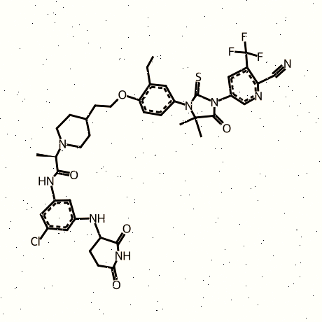 CCc1cc(N2C(=S)N(c3cnc(C#N)c(C(F)(F)F)c3)C(=O)C2(C)C)ccc1OCCC1CCN([C@H](C)C(=O)Nc2cc(Cl)cc(NC3CCC(=O)NC3=O)c2)CC1